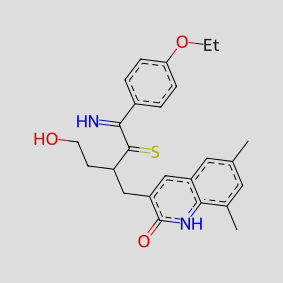 CCOc1ccc(C(=N)C(=S)C(CCO)Cc2cc3cc(C)cc(C)c3[nH]c2=O)cc1